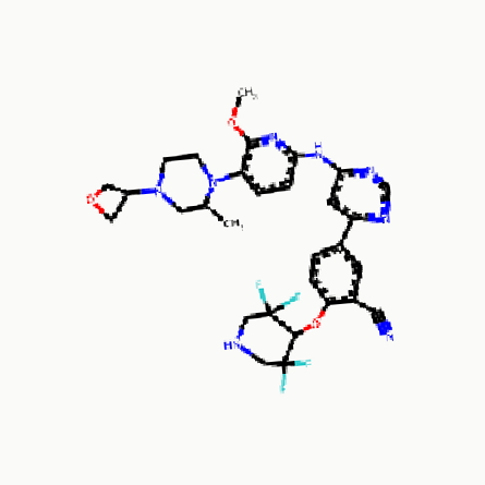 COc1nc(Nc2cc(-c3ccc(OC4C(F)(F)CNCC4(F)F)c(C#N)c3)ncn2)ccc1N1CCN(C2COC2)C[C@@H]1C